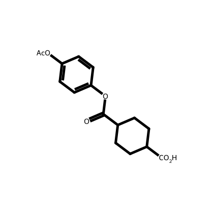 CC(=O)Oc1ccc(OC(=O)C2CCC(C(=O)O)CC2)cc1